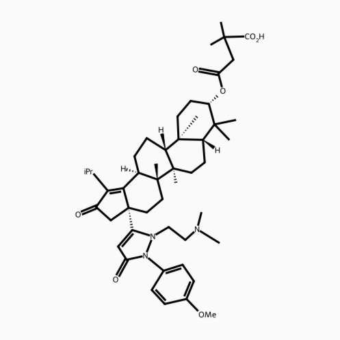 COc1ccc(-n2c(=O)cc([C@@]34CC[C@]5(C)[C@H](CC[C@@H]6[C@@]7(C)CC[C@H](OC(=O)CC(C)(C)C(=O)O)C(C)(C)[C@@H]7CC[C@]65C)C3=C(C(C)C)C(=O)C4)n2CCN(C)C)cc1